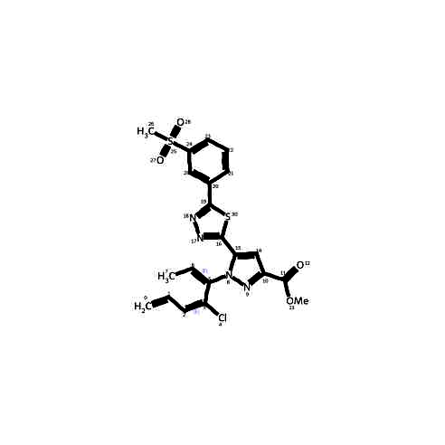 C=C/C=C(Cl)\C(=C/C)n1nc(C(=O)OC)cc1-c1nnc(-c2cccc(S(C)(=O)=O)c2)s1